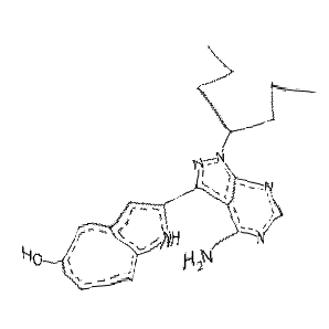 CCCC(CCC)n1nc(-c2cc3cc(O)ccc3[nH]2)c2c(N)ncnc21